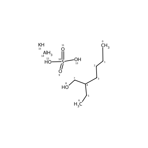 CCCCC(CC)CO.O=S(=O)(O)O.[AlH3].[KH]